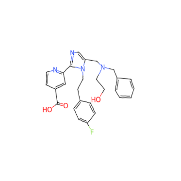 O=C(O)c1ccnc(-c2ncc(CN(CCO)Cc3ccccc3)n2CCc2ccc(F)cc2)c1